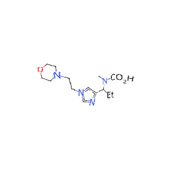 CCC(c1cn(CCN2CCOCC2)cn1)N(C)C(=O)O